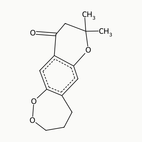 CC1(C)CC(=O)c2cc3c(cc2O1)CCCOO3